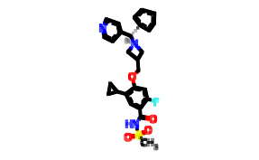 CS(=O)(=O)NC(=O)c1cc(C2CC2)c(OCC2CN([C@@H](c3ccccc3)c3ccncc3)C2)cc1F